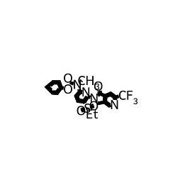 CCS(=O)(=O)c1ccc(N(C)C(=O)Oc2ccccc2)nc1N1Cc2cnc(C(F)(F)F)cc2C1=O